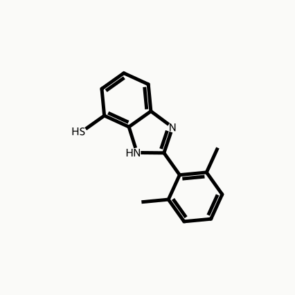 Cc1cccc(C)c1-c1nc2cccc(S)c2[nH]1